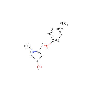 CN1CC(O)CC1COc1ccc([N+](=O)[O-])cc1